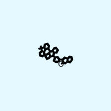 CC1(C)c2ccccc2-c2c(-c3c4ccccc4c(-c4ccc5oc6cc7ccccc7cc6c5c4)c4ccccc34)cccc21